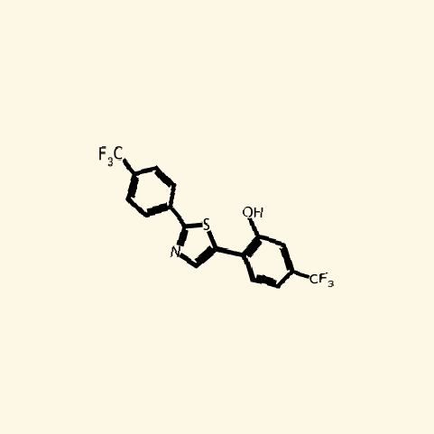 Oc1cc(C(F)(F)F)ccc1-c1cnc(-c2ccc(C(F)(F)F)cc2)s1